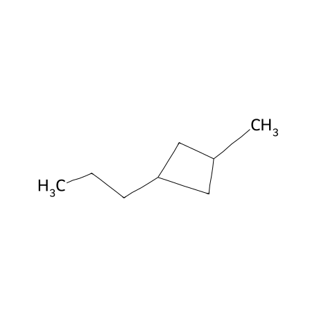 CCCC1CC(C)C1